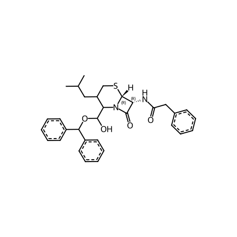 CC(C)CC1CS[C@@H]2[C@H](NC(=O)Cc3ccccc3)C(=O)N2C1C(O)OC(c1ccccc1)c1ccccc1